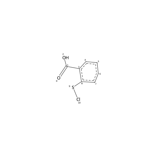 O=C(O)c1ccccc1SCl